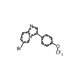 FC(F)(F)Oc1ccc(-c2cnc3ccc(Br)cn23)cc1